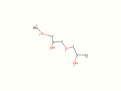 CCC(O)COCC(O)COC(C)(C)C